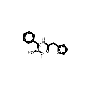 O=C(Cc1cccs1)N[C@H](B(O)O)c1ccccc1